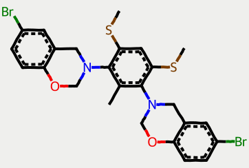 CSc1cc(SC)c(N2COc3ccc(Br)cc3C2)c(C)c1N1COc2ccc(Br)cc2C1